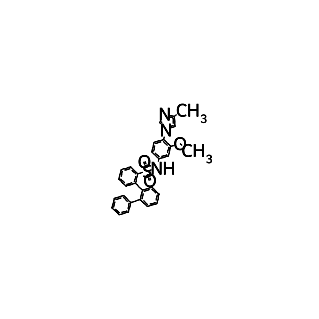 COc1cc(NS(=O)(=O)c2ccccc2-c2ccccc2-c2ccccc2)ccc1-n1cnc(C)c1